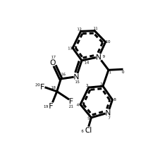 CC(c1ccc(Cl)nc1)n1cccc/c1=N\C(=O)C(F)(F)F